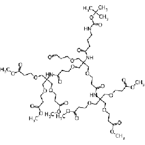 COC(=O)CCOCC(COCCC(=O)OC)(COCCC(=O)OC)NC(=O)CCOCC(COCCC=O)(COCCC(=O)NC(COCCC(=O)OC)(COCCC(=O)OC)COCCC(=O)OC)NC(=O)CCCNC(=O)OC(C)(C)C